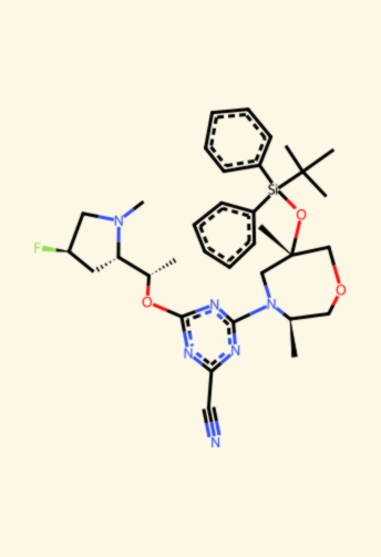 C[C@H](Oc1nc(C#N)nc(N2C[C@](C)(O[Si](c3ccccc3)(c3ccccc3)C(C)(C)C)COC[C@H]2C)n1)[C@@H]1C[C@@H](F)CN1C